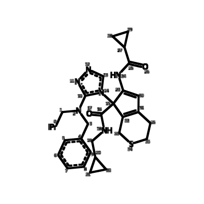 CC(C)CN(Cc1ccccc1)c1nncn1C1(C(=O)NCC2CC2)C(NC(=O)C2CC2)=CC2=C1CSCC2